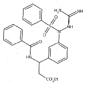 CCOC(=O)CC(NC(=O)c1ccccc1)c1cccc(N(NC(=N)N)S(=O)(=O)c2ccccc2)c1